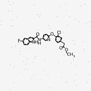 CCOC(=O)Cc1ccc(Oc2ccc(NC(=O)c3cc4cc(F)ccc4[nH]3)cn2)c(Cl)c1